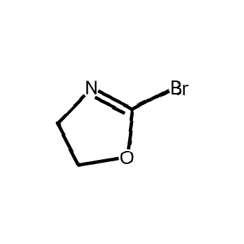 BrC1=NCCO1